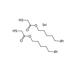 CC(C)CCCCCOC(=O)CS.CC(C)CCCCCOC(=O)CS.[Sn]